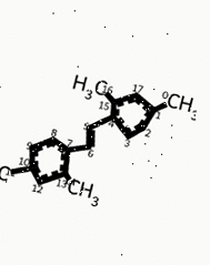 Cc1ccc(C=Cc2ccc(C)cc2C)c(C)c1